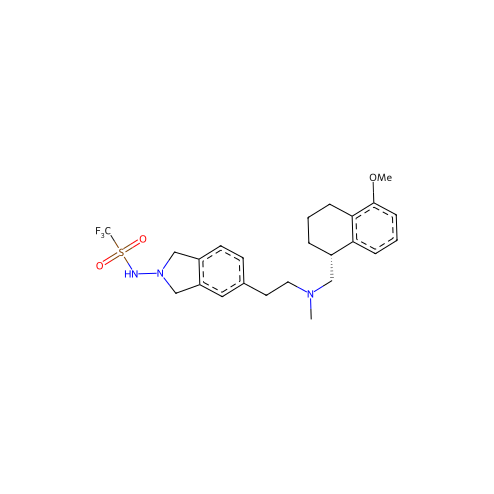 COc1cccc2c1CCC[C@H]2CN(C)CCc1ccc2c(c1)CN(NS(=O)(=O)C(F)(F)F)C2